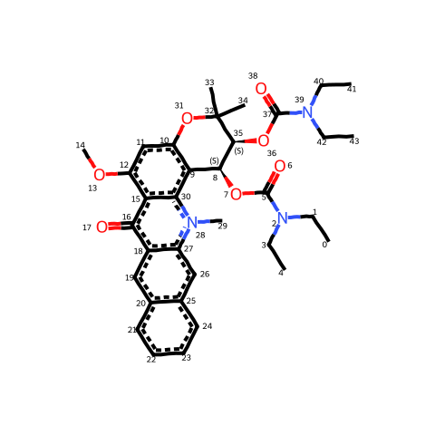 CCN(CC)C(=O)O[C@H]1c2c(cc(OC)c3c(=O)c4cc5ccccc5cc4n(C)c23)OC(C)(C)[C@H]1OC(=O)N(CC)CC